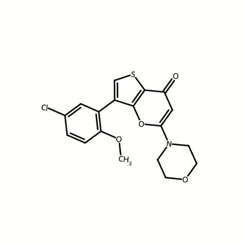 COc1ccc(Cl)cc1-c1csc2c(=O)cc(N3CCOCC3)oc12